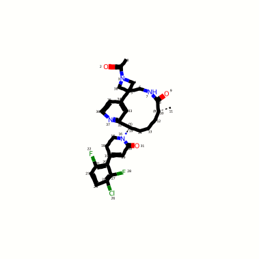 CC(=O)N1CC2(CNC(=O)[C@H](C)CCC[C@H](N3CCC(c4c(F)ccc(Cl)c4F)=CC3=O)c3cc2ccn3)C1